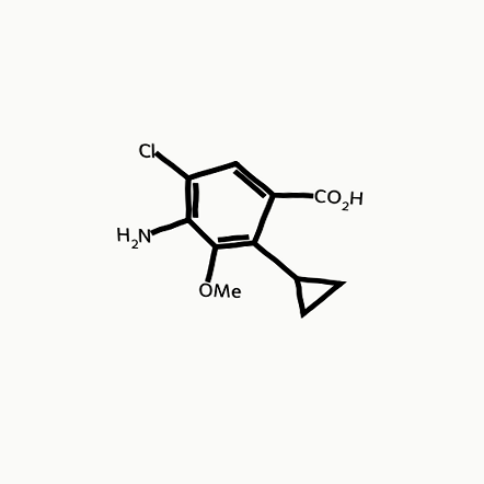 COc1c(N)c(Cl)cc(C(=O)O)c1C1CC1